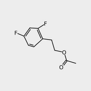 CC(=O)OCCc1ccc(F)cc1F